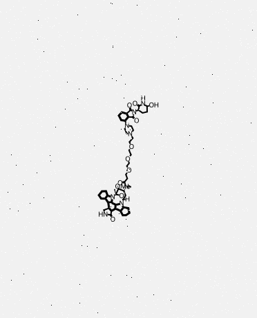 CO[C@@H]1[C@H](N(C)C(=O)CCOCCOCCOCCN2CCN(c3cccc4c3C(=O)N(C3CCC(O)NC3=O)C4=O)CC2)C[C@H]2O[C@]1(C)n1c3ccccc3c3c4c(c5c6ccccc6n2c5c31)C(=O)NC4